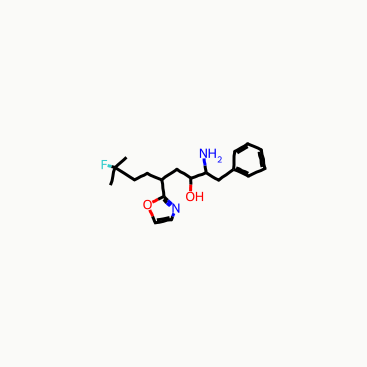 CC(C)(F)CCC(CC(O)C(N)Cc1ccccc1)c1ncco1